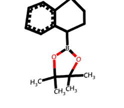 CC1(C)OB(C2CCCc3ccccc32)OC1(C)C